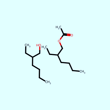 CCCCC(CC)CO.CCCCC(CC)COC(C)=O